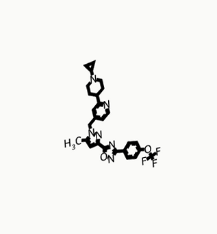 Cc1cc(-c2nc(-c3ccc(OC(F)(F)F)cc3)no2)nn1Cc1ccnc(C2CCN(C3CC3)CC2)c1